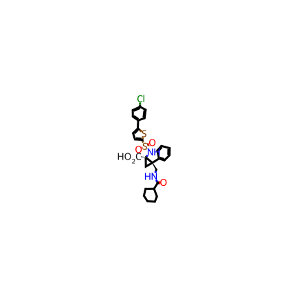 O=C(NC[C@@]1(c2ccccc2)C[C@]1(NS(=O)(=O)c1ccc(-c2ccc(Cl)cc2)s1)C(=O)O)C1CCCCC1